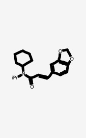 CC(C)N(C(=O)C=Cc1ccc2c(c1)OCO2)C1CCCCC1